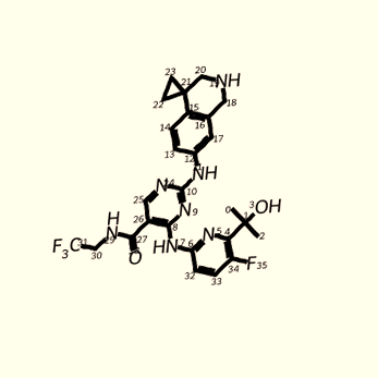 CC(C)(O)c1nc(Nc2nc(Nc3ccc4c(c3)CNCC43CC3)ncc2C(=O)NCC(F)(F)F)ccc1F